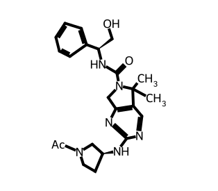 CC(=O)N1CC[C@H](Nc2ncc3c(n2)CN(C(=O)N[C@H](CO)c2ccccc2)C3(C)C)C1